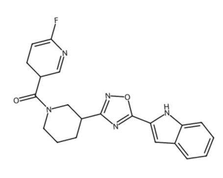 O=C(C1C=NC(F)=CC1)N1CCCC(c2noc(-c3cc4ccccc4[nH]3)n2)C1